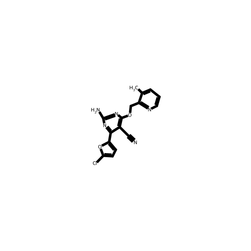 Cc1cccnc1COc1nc(N)nc(-c2ccc(Cl)o2)c1C#N